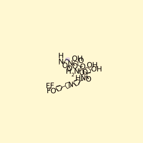 CNC(=O)/C=C\N(C=O)C1OC(C(OC2OC(C(=O)NCc3ccc(N4CCC(c5ccc(OC(F)(F)F)cc5)CC4)cc3)=CC(O)C2O)C(N)=O)C(OC)C1O